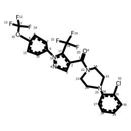 O=C(c1cnn(-c2ccc(OC(F)(F)F)cc2)c1C(F)(F)F)N1CCN(c2ccccc2Cl)CC1